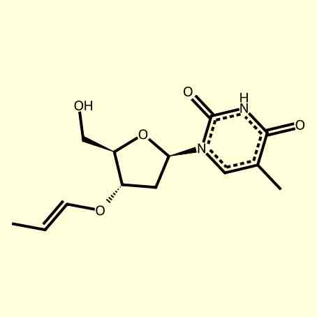 C/C=C/O[C@H]1C[C@H](n2cc(C)c(=O)[nH]c2=O)O[C@@H]1CO